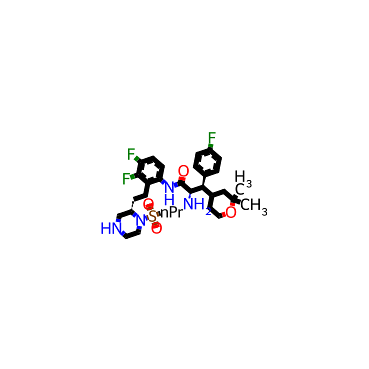 CCCS(=O)(=O)N1CCNC[C@@H]1CCc1c(NC(=O)[C@@H](N)[C@@H](c2ccc(F)cc2)C2CCOC(C)(C)C2)ccc(F)c1F